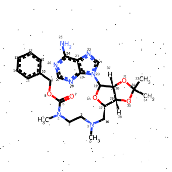 CN(CCN(C)C(=O)OCc1ccccc1)C[C@H]1OC(n2cnc3c(N)ncnc32)[C@@H]2OC(C)(C)O[C@H]12